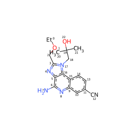 CCOCc1nc2c(N)nc3cc(C#N)ccc3c2n1CC(C)(C)O